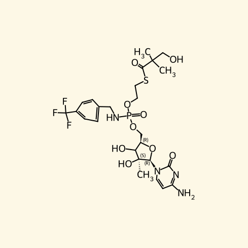 CC(C)(CO)C(=O)SCCOP(=O)(NCc1ccc(C(F)(F)F)cc1)OC[C@H]1O[C@@H](n2ccc(N)nc2=O)[C@@](C)(O)C1O